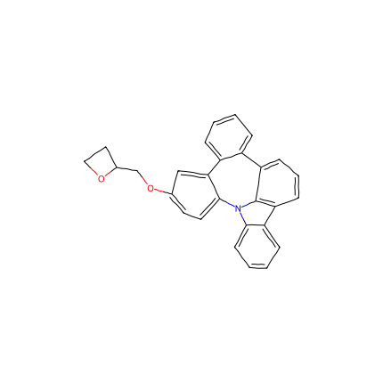 c1ccc2c(c1)-c1cc(OCC3CCO3)ccc1-n1c3ccccc3c3cccc-2c31